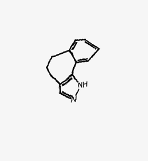 c1ccc2c(c1)CCCc1cn[nH]c1-2